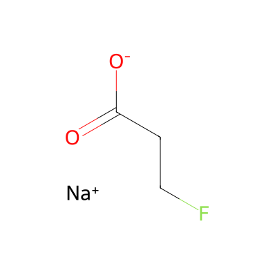 O=C([O-])CCF.[Na+]